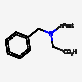 CCCCCN(CC(=O)O)Cc1ccccc1